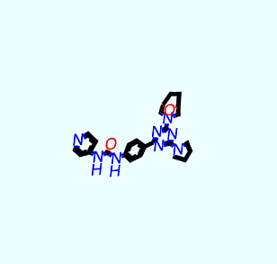 O=C(Nc1ccncc1)Nc1ccc(-c2nc(N3CCCC3)nc(N3CC4CCC(C3)O4)n2)cc1